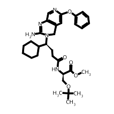 COC(=O)[C@@H](COC(C)(C)C)NC(=O)CC[C@@H](C1CCCCC1)N1Cc2cc(Oc3ccccc3)ncc2N=C1N